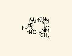 C[C@@H]1COc2ncc(F)cc2[C@@H]2CCON2c2ccn3ncc(c3n2)C(=O)N1